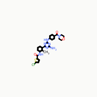 Cc1c(NC(=O)c2ccc(Cl)s2)cccc1-c1nc(N)nc(Nc2ccc(C(=O)N3CCOCC3)cc2)n1